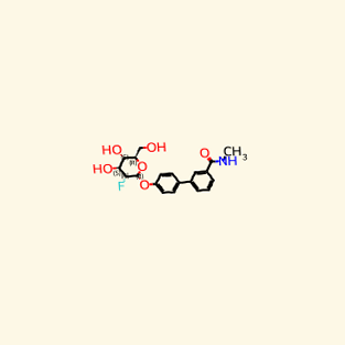 CNC(=O)c1cccc(-c2ccc(O[C@H]3O[C@H](CO)[C@@H](O)[C@H](O)[C@H]3F)cc2)c1